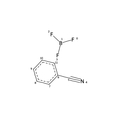 FB(F)F.N#Cc1ccccc1